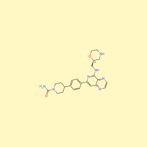 NC(=O)N1CCC(c2ccc(-c3cc4nccnc4c(NC[C@@H]4CNCCO4)n3)cc2)CC1